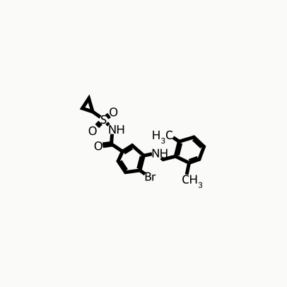 Cc1cccc(C)c1CNc1cc(C(=O)NS(=O)(=O)C2CC2)ccc1Br